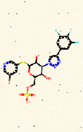 O=S(=O)(O)OCC1OC(Sc2cncc(Br)c2)C(O)C(n2cc(-c3cc(F)c(F)c(F)c3)nn2)C1O